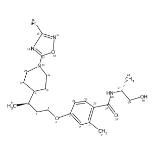 Cc1cc(OCC[C@@H](C)C2CCN(c3nc(C(C)C)no3)CC2)ccc1C(=O)N[C@H](C)CO